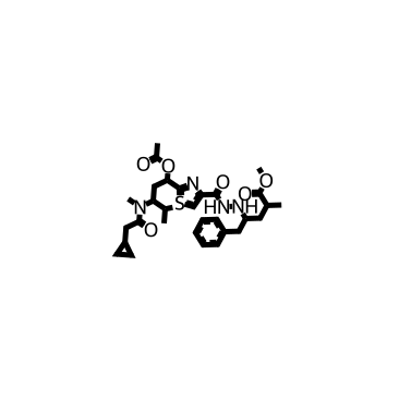 COC(=O)C(C)CC(Cc1ccccc1)NNC(=O)c1csc(C(CC(C(C)C)N(C)C(=O)CC2CC2)OC(C)=O)n1